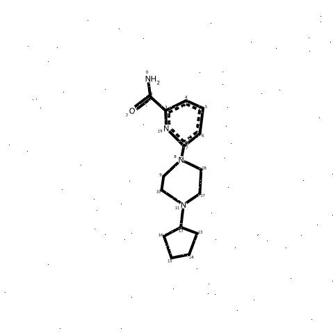 NC(=O)c1[c]ccc(N2CCN(C3CCCC3)CC2)n1